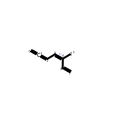 C=C=C/C=C(/I)C=C